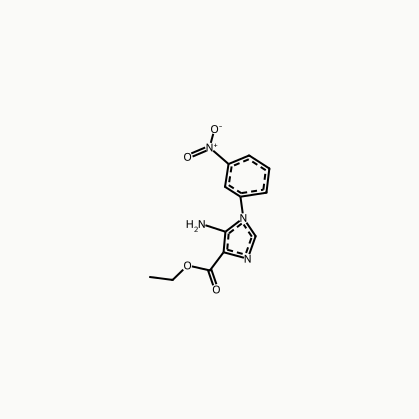 CCOC(=O)c1ncn(-c2cccc([N+](=O)[O-])c2)c1N